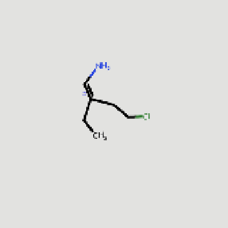 CC/C(=C/N)CCCl